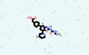 CCNC(=O)Nc1nc2c(F)c(-c3ccc(CC(=O)O)cc3)cc(-c3ccccn3)c2s1.[LiH]